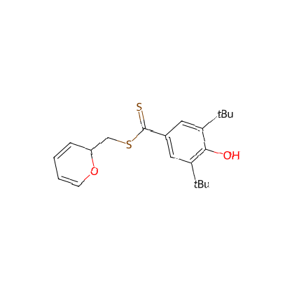 CC(C)(C)c1cc(C(=S)SCC2C=CC=CO2)cc(C(C)(C)C)c1O